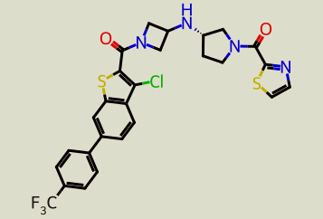 O=C(c1nccs1)N1CC[C@H](NC2CN(C(=O)c3sc4cc(-c5ccc(C(F)(F)F)cc5)ccc4c3Cl)C2)C1